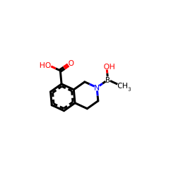 CB(O)N1CCc2cccc(C(=O)O)c2C1